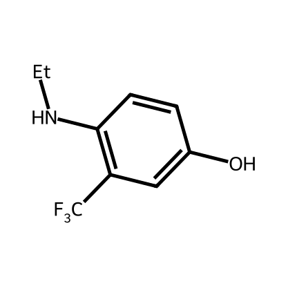 CCNc1ccc(O)cc1C(F)(F)F